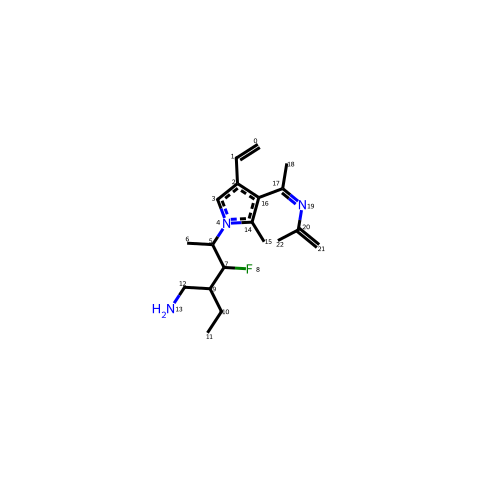 C=Cc1cn(C(C)C(F)C(CC)CN)c(C)c1/C(C)=N\C(=C)C